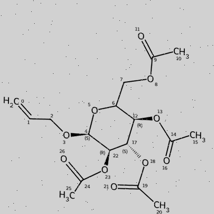 C=CCO[C@H]1OC(COC(C)=O)[C@@H](OC(C)=O)[C@H](OC(C)=O)[C@H]1OC(C)=O